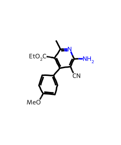 CCOC(=O)c1c(C)nc(N)c(C#N)c1-c1ccc(OC)cc1